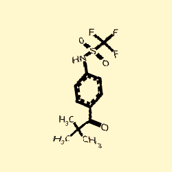 CC(C)(C)C(=O)c1ccc(NS(=O)(=O)C(F)(F)F)cc1